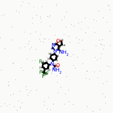 NC(=O)N(c1ccc(N2CN=c3occc3=C2N)cc1)c1cc(F)cc(C(F)(F)F)c1